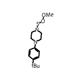 COOSN1CCN(c2ccc(C(C)(C)C)cc2)CC1